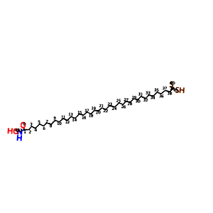 O=C(CCCCCCCCCCCCCCCCCCCCCCCCCCCCCCCCCCCCCC(=S)S)NO